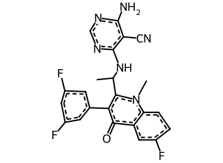 CC(Nc1ncnc(N)c1C#N)c1c(-c2cc(F)cc(F)c2)c(=O)c2cc(F)ccc2n1C